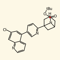 CC(C)(C)OC(=O)N1C2CNCC1(c1ccc(-c3cc(Cl)cc4ncccc34)cn1)C2